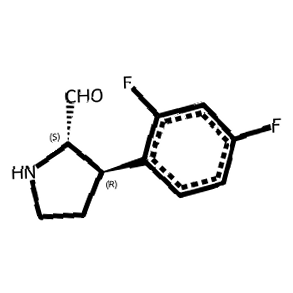 O=C[C@H]1NCC[C@@H]1c1ccc(F)cc1F